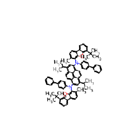 Cc1ccc2c(oc3c(C(C)(C)C)cccc32)c1N(c1ccc(-c2ccccc2)cc1)c1cc(C(C)C)c2ccc3c(N(c4ccc(-c5ccccc5)cc4)c4c(C)ccc5c4oc4c(C(C)(C)C)cccc45)cc(C(C)C)c4ccc1c2c43